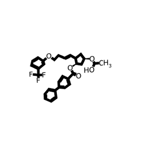 CC(O)O[C@@H]1CC(/C=C/CCOc2cccc(C(F)(F)F)c2)[C@H](OC(=O)c2ccc(-c3ccccc3)cc2)C1